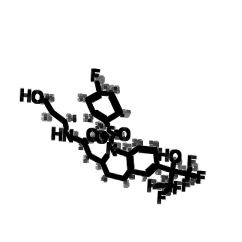 O=C(CC1CCc2cc(C(O)(C(F)(F)F)C(F)(F)F)ccc2N1S(=O)(=O)c1ccc(F)cc1)NCCCO